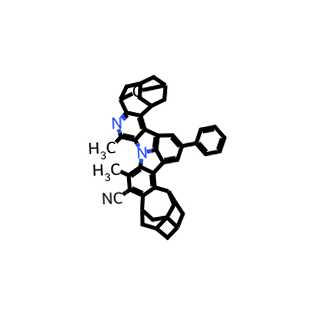 Cc1nc2c(c3c4cc(-c5ccccc5)cc5c6c7c(c(C#N)c(C)c6n(c13)c45)C1CC3CC4CC7CC34C1)C1CC3CC(CC2C3)C1